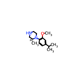 COc1cc(C(C)C)ccc1N1CCNC[C@H]1C